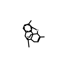 CC1=CCC2C3Cc4ccc(C)c5c4C2(CCN3C)C1O5